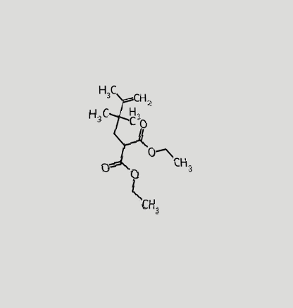 C=C(C)C(C)(C)CC(C(=O)OCC)C(=O)OCC